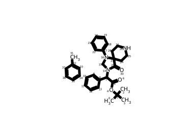 CC(C)(C)OC(=O)C(c1ccccc1)N1CN(c2ccccc2)C2(CCNCC2)C1=O.Cc1ccccc1